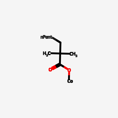 CCCCCCC(C)(C)C(=O)[O][Co]